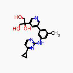 Cc1cc(Nc2nccc(C3CC3)n2)cc(-c2cncc(C(O)(CO)CO)c2)c1